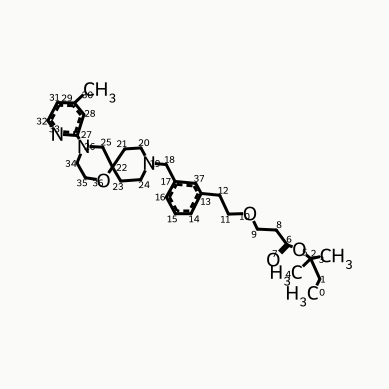 CCC(C)(C)OC(=O)CCOCCc1cccc(CN2CCC3(CC2)CN(c2cc(C)ccn2)CCO3)c1